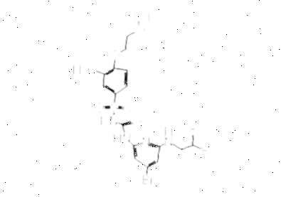 COCCOc1ccc(S(=O)(=O)NC(=O)Nc2cc(Br)cc(NCC(F)F)n2)cc1C